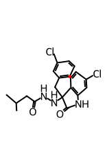 CC(C)CC(=O)NNC1(Cc2cccc(Cl)c2)C(=O)Nc2cc(Cl)ccc21